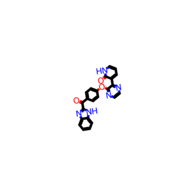 O=C(c1ccc(Oc2nccnc2-c2ccc[nH]c2=O)cc1)c1nc2ccccc2[nH]1